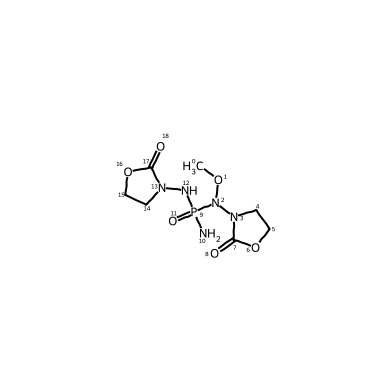 CON(N1CCOC1=O)P(N)(=O)NN1CCOC1=O